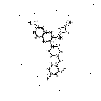 Cc1cc2nc(NC3CC(O)C3)c(N3CCN(Cc4ccc(F)cc4F)CC3)nc2cn1